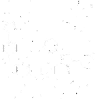 O=C1N(C2CCOCC2)C[C@@H](c2ccccc2)N1C1CCN(Cc2ccc(Oc3ccc(-c4nn[nH]n4)cc3)nc2)CC1